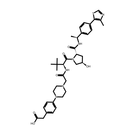 Cc1ncsc1-c1ccc([C@H](C)NC(=O)[C@@H]2C[C@@H](O)CN2C(=O)[C@@H](NC(=O)CN2CCN(c3ccc(CC(=O)O)cc3)CC2)C(C)(C)C)cc1